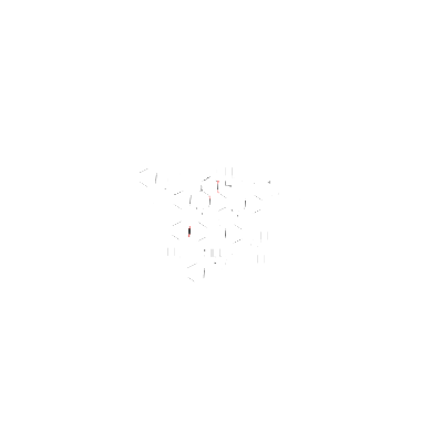 CC(C)(C)c1cc2c3c(c1)N(c1c(-c4ccccc4)cc(C(C)(C)c4ccccc4)cc1-c1ccccc1)c1ccc(C(C)(C)c4ccccc4)cc1B3c1cc3c(cc1N2c1ccc2c(c1)C(C)(C)CCC2(C)C)C(C)(C)CCC3(C)C